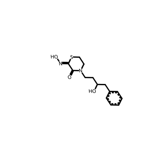 O=C1C(=NO)SCCN1CCC(O)Cc1ccccc1